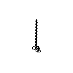 CCCCCCCCCCCCCCCCCCC1CCC(=O)OC1=O